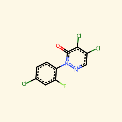 O=c1c(Cl)c(Cl)cnn1-c1ccc(Cl)cc1F